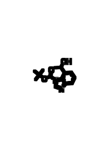 CC(O)c1cccc2ncn(C(=O)OC(C)(C)C)c12